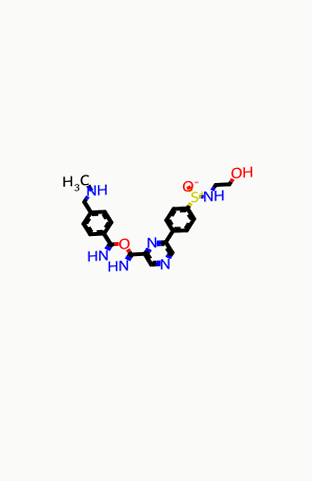 CNCc1ccc(C(=N)OC(=N)c2cncc(-c3ccc([S+]([O-])NCCO)cc3)n2)cc1